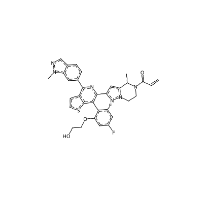 C=CC(=O)N1CCn2nc(-c3nc(-c4ccc5cnn(C)c5c4)c4ccsc4c3-c3c(F)cc(F)cc3OCCO)cc2C1C